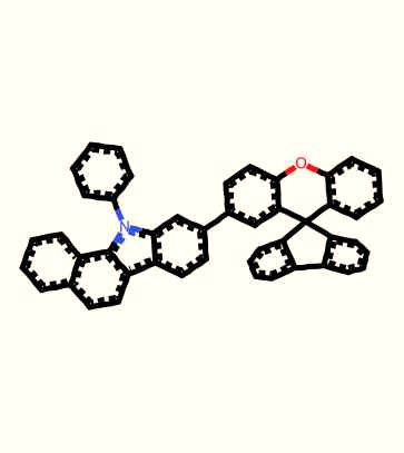 c1ccc(-n2c3cc(-c4ccc5c(c4)C4(c6ccccc6O5)c5ccccc5-c5ccccc54)ccc3c3ccc4ccccc4c32)cc1